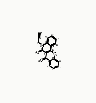 C#CCn1c(=O)c2c(=O)c3ccccc3oc2c2ccccc21